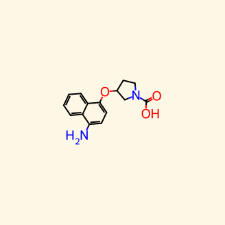 Nc1ccc(OC2CCN(C(=O)O)C2)c2ccccc12